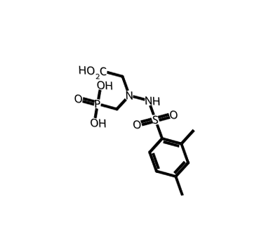 Cc1ccc(S(=O)(=O)NN(CC(=O)O)CP(=O)(O)O)c(C)c1